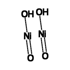 [O]=[Ni][OH].[O]=[Ni][OH]